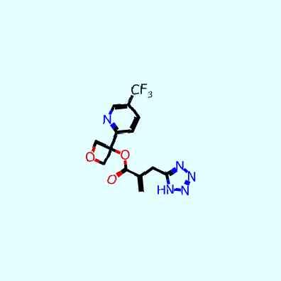 C=C(Cc1nnn[nH]1)C(=O)OC1(c2ccc(C(F)(F)F)cn2)COC1